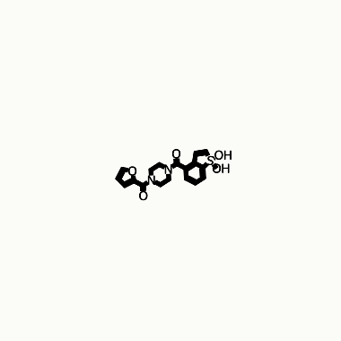 O=C(c1ccco1)N1CCN(C(=O)c2cccc3c2C=CS3(O)O)CC1